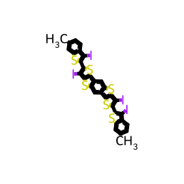 Cc1ccc2c(I)c(-c3sc4c(sc5cc6c(cc54)sc4c(I)c(-c5sc7cc(C)ccc7c5I)sc46)c3I)sc2c1